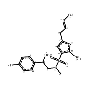 CN(CC(O)c1ccc(F)cc1)S(=O)(=O)c1cc(CC=NO)sc1N